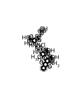 Cc1c(Nc2nc(Cl)nc(Nc3cc(S(=O)(=O)CCOS(=O)(=O)O)cc(S(=O)(=O)O)c3O)n2)c(C)c(S(=O)(=O)O)c(C)c1Nc1cc(S(=O)(=O)O)c(N)c2c1C(=O)c1ccccc1C2=O